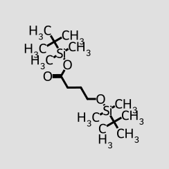 CC(C)(C)[Si](C)(C)OCCCC(=O)O[Si](C)(C)C(C)(C)C